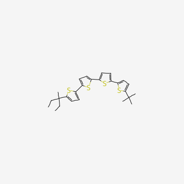 CCC(C)(CC)c1ccc(-c2ccc(-c3ccc(-c4ccc(C(C)(C)C)s4)s3)s2)s1